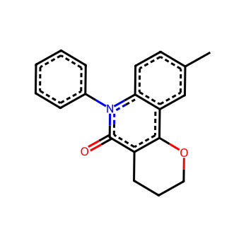 Cc1ccc2c(c1)c1c(c(=O)n2-c2ccccc2)CCCO1